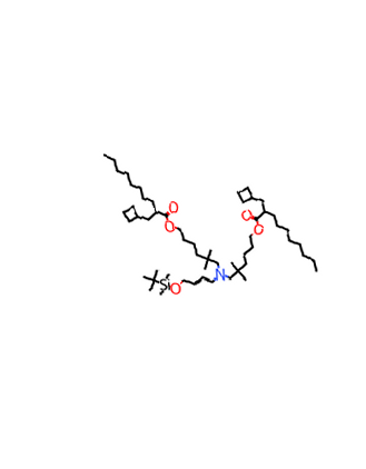 CCCCCCCCC(CC1CCC1)C(=O)OCCCCC(C)(C)CN(CCCCO[Si](C)(C)C(C)(C)C)CC(C)(C)CCCCOC(=O)C(CCCCCCCC)CC1CCC1